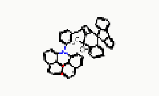 CC1(C)c2ccccc2C2(c3ccccc3-c3ccccc32)c2cccc(-c3cccc(N(c4cccc5ccccc45)c4cccc5ccccc45)c3)c21